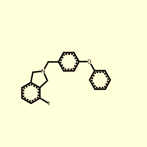 Ic1cccc2c1CN(Cc1ccc(Oc3ccccc3)cc1)C2